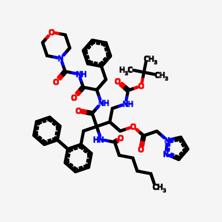 CCCCCC(=O)NC(Cc1ccccc1-c1ccccc1)(C(=O)NC(Cc1ccccc1)C(=O)NC(=O)N1CCOCC1)C(CNC(=O)OC(C)(C)C)COC(=O)Cn1cccn1